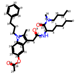 CCCCCC(NC(=O)Cc1c(C)n(CCCc2ccccc2)c2ccc(OC(C)=O)cc12)C(=O)N(C)CCCC